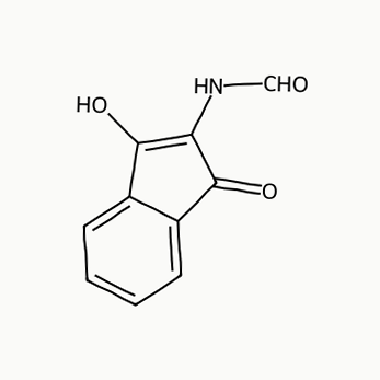 O=CNC1=C(O)c2ccccc2C1=O